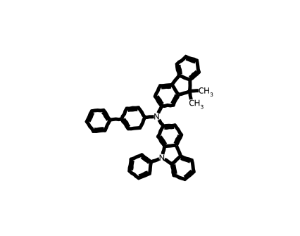 CC1(C)c2ccccc2-c2ccc(N(c3ccc4c5ccccc5n(-c5ccccc5)c4c3)C3C=CC(c4ccccc4)=CC3)cc21